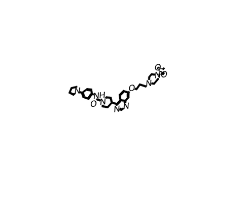 CS(=O)(=O)N1CCN(CCCOc2ccc3c(C4CCN(C(=O)Nc5ccc(N6CCCC6)cc5)CC4)ncnc3c2)CC1